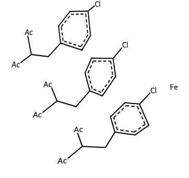 CC(=O)C(Cc1ccc(Cl)cc1)C(C)=O.CC(=O)C(Cc1ccc(Cl)cc1)C(C)=O.CC(=O)C(Cc1ccc(Cl)cc1)C(C)=O.[Fe]